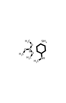 CNC1CCCCC1.CO[SiH](OC)OC.[SiH4]